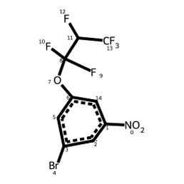 O=[N+]([O-])c1[c]c(Br)cc(OC(F)(F)C(F)C(F)(F)F)c1